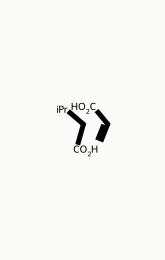 C=CC(=O)O.CC(C)CC(=O)O